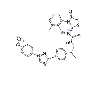 Cc1cccc(N2C(=O)CS/C2=N\C(=S)NCC(C)c2ccc(-c3ncn(-c4ccc(OC(F)(F)F)cc4)n3)cc2)c1C(C)C